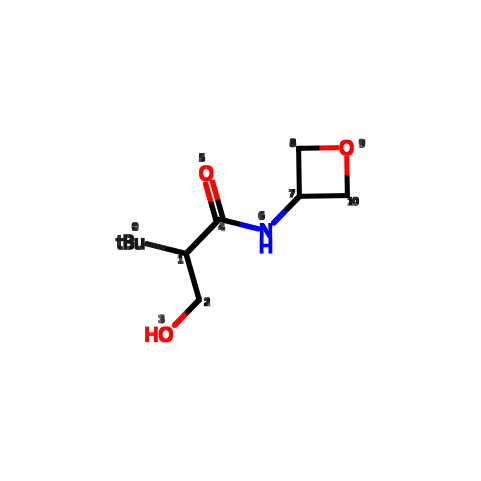 CC(C)(C)C(CO)C(=O)NC1COC1